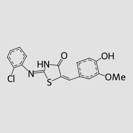 COc1cc(C=C2SC(=Nc3ccccc3Cl)NC2=O)ccc1O